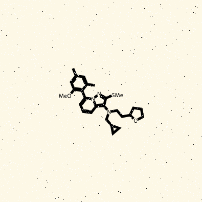 COc1cc(C)cc(C)c1-c1cccc2c(N(CCC3CCCO3)CC3CC3)c(SC)nn12